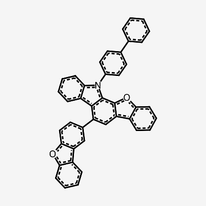 c1ccc(-c2ccc(-n3c4ccccc4c4c(-c5ccc6oc7ccccc7c6c5)cc5c6ccccc6oc5c43)cc2)cc1